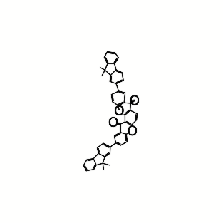 CC1(C)c2ccccc2-c2ccc(-c3ccc4oc5c(ccc6oc7ccc(-c8ccc9c(c8)C(C)(C)c8ccccc8-9)cc7c(=O)c65)c(=O)c4c3)cc21